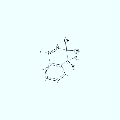 CC1(C)N=C(Cl)c2ccccc2C1(Br)Br